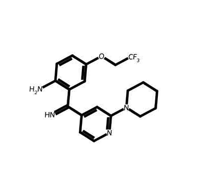 N=C(c1ccnc(N2CCCCC2)c1)c1cc(OCC(F)(F)F)ccc1N